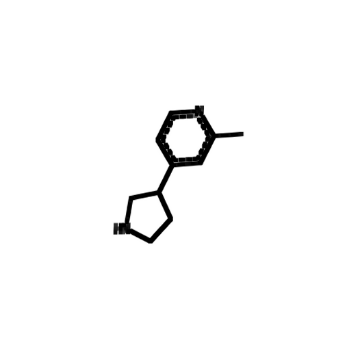 Cc1cc(C2CCNC2)ccn1